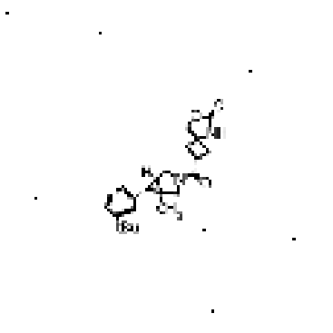 CC(C)(C)c1cccc([C@@H]2[C@H]3CN(C(=O)[C@H]4C[C@]5(COC(=O)N5)C4)C[C@]32C)c1